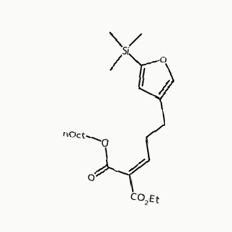 CCCCCCCCOC(=O)C(=CCCc1coc([Si](C)(C)C)c1)C(=O)OCC